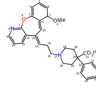 COC1C=CC=C2Oc3ncccc3C(=CCCN3CCC(C(=O)O)(c4ccccc4)CC3)C=C21